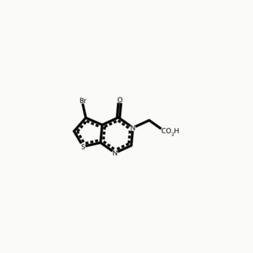 O=C(O)Cn1cnc2scc(Br)c2c1=O